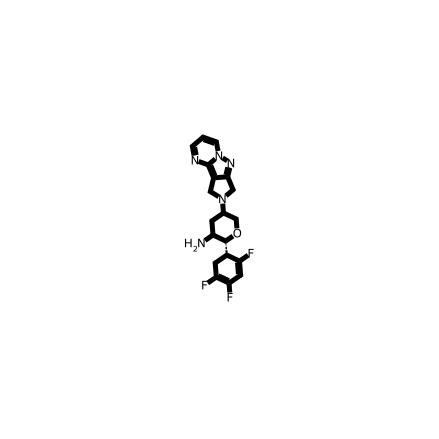 NC1CC(N2Cc3nn4cccnc4c3C2)CO[C@@H]1C1CC(F)=C(F)C=C1F